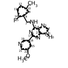 [2H]n1cnc2c(NCc3cc(C)ccc3F)nc(-c3cncc(OC)c3)nc21